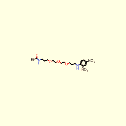 CCC(=O)NCCCOCCOCCOCCCNc1ccc([N+](=O)[O-])cc1[N+](=O)[O-]